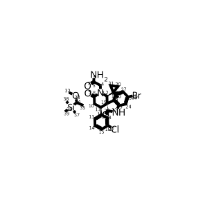 CC1([C@@H]2N(CC(N)=O)C(=O)C[C@H](c3cccc(Cl)c3)[C@@]23C(=O)Nc2cc(Br)ccc23)CC1.COC(C)[Si](C)(C)C